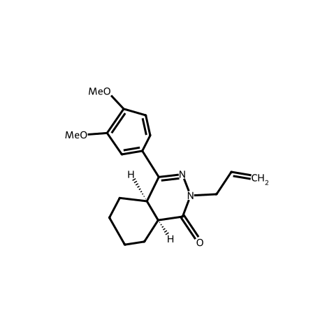 C=CCN1N=C(c2ccc(OC)c(OC)c2)[C@@H]2CCCC[C@@H]2C1=O